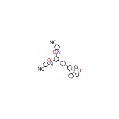 N#Cc1ccc2oc(-c3cc(-c4ccc(-c5ccc6c(c5)-c5ccccc5C65c6ccccc6Oc6ccccc65)cc4)cc(-c4nc5ccc(C#N)cc5o4)c3)nc2c1